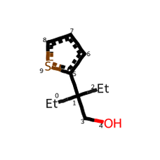 CCC(CC)(CO)c1cccs1